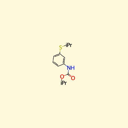 CC(C)OC(=O)Nc1cccc(SC(C)C)c1